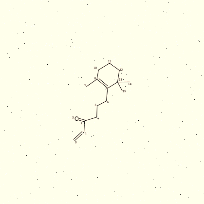 C=CC(=O)CCCC1=C(C)CCCC1(C)C